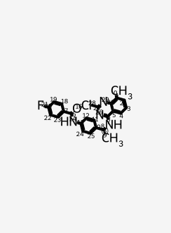 Cc1cccc2c(N[C@@H](C)c3ccc(NC(=O)c4ccc(F)cc4)cc3)nc(Cl)nc12